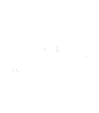 CN(C(=O)c1ccc(-c2ccc(F)cc2)[nH]1)C1C2CC3CC1CC(C(N)=O)(C3)C2